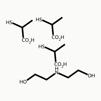 CC(S)C(=O)O.CC(S)C(=O)O.CC(S)C(=O)O.OCCNCCO